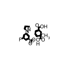 CC1(C(=O)O)C=CC=C(C(=O)O)C1.O=[N+]([O-])c1cc(F)cc(-n2cccn2)c1